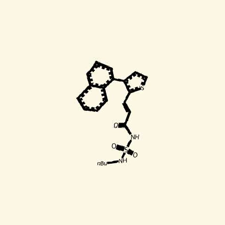 CCCCNS(=O)(=O)NC(=O)C=Cc1sccc1-c1cccc2ccccc12